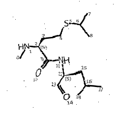 CN[C@@H](CCSC(C)C)C(=O)N[C@H](C=O)CC(C)C